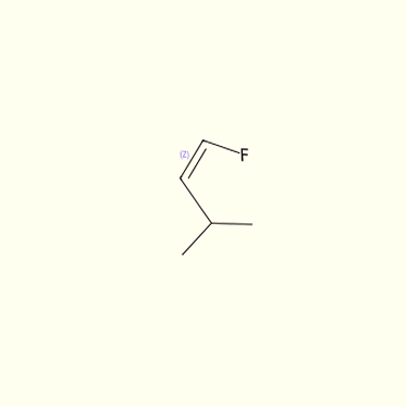 CC(C)/C=C\F